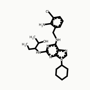 CCC(Nc1nc(NCc2cccc(Cl)c2N)c2ncn(C3CCCCC3)c2n1)C(C)O